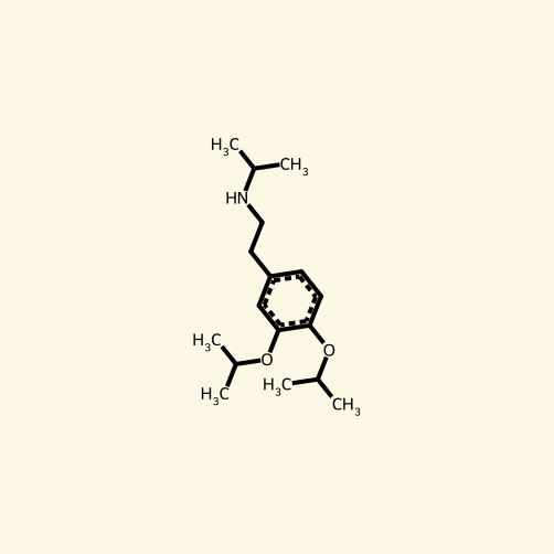 CC(C)NCCc1ccc(OC(C)C)c(OC(C)C)c1